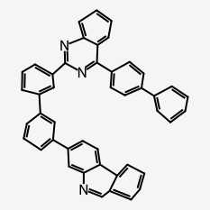 c1ccc(-c2ccc(-c3nc(-c4cccc(-c5cccc(-c6ccc7c(c6)ncc6ccccc67)c5)c4)nc4ccccc34)cc2)cc1